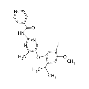 COc1cc(C(C)C)c(Oc2cnc(NC(=O)c3ccncc3)nc2N)cc1I